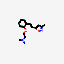 Cc1cc(C=Cc2ccccc2OCCN(C)C)on1